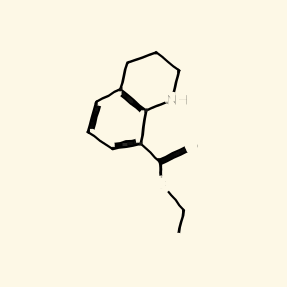 CCOC(=O)c1cccc2c1NCCC2